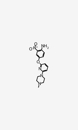 CN1CCN(c2cccc(Oc3ccc(N)c([N+](=O)[O-])c3)n2)CC1